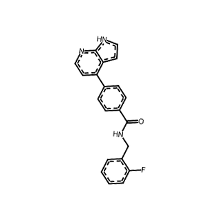 O=C(NCc1ccccc1F)c1ccc(-c2ccnc3[nH]ccc23)cc1